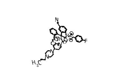 CCCN1CCN(C2CCN(C(=O)NC3(c4ccccc4OCC)C(=O)N(S(=O)(=O)c4ccc(F)cc4)c4ccc(C#N)cc43)CC2)CC1